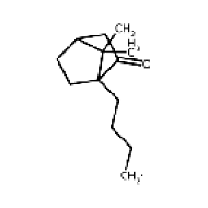 [CH2]CCCC12CCC(CC1=O)C2(C)C